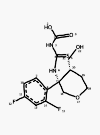 O=C(O)NC(=S)N[C@@]1(c2ccc(F)cc2F)COCC[C@H]1CO